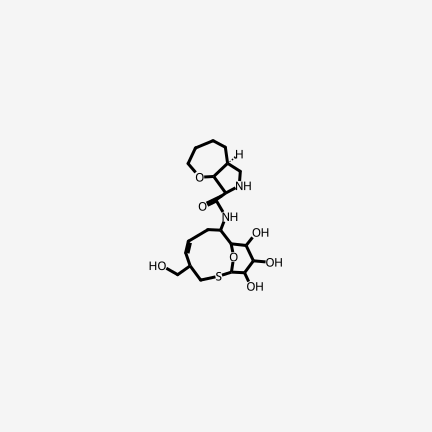 O=C(NC1C/C=C\C(CO)CSC2OC1C(O)C(O)C2O)C1NC[C@@H]2CCCCOC12